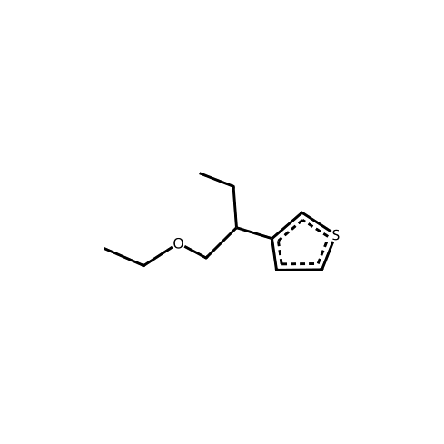 CCOCC(CC)c1ccsc1